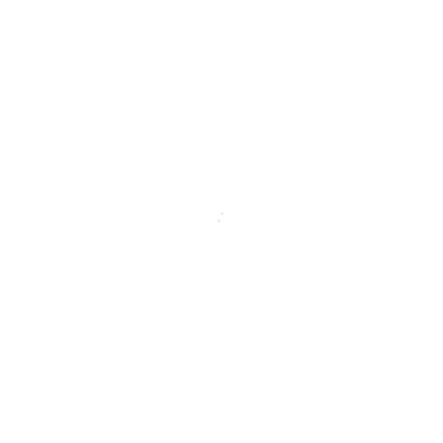 ClCCCCCCC#CCCCCCCCl